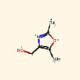 CSc1oc(C)nc1CO